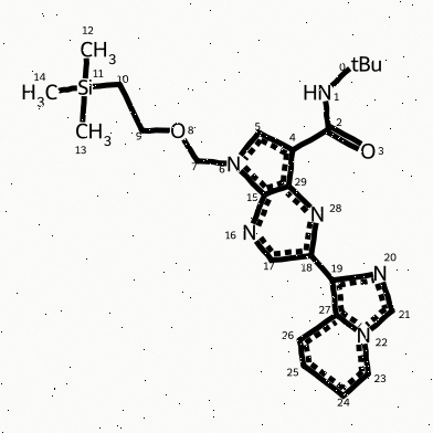 CC(C)(C)NC(=O)c1cn(COCC[Si](C)(C)C)c2ncc(-c3ncn4ccccc34)nc12